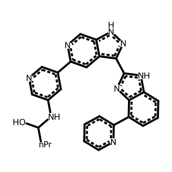 CCCC(O)Nc1cncc(-c2cc3c(-c4nc5c(-c6ccccn6)cccc5[nH]4)n[nH]c3cn2)c1